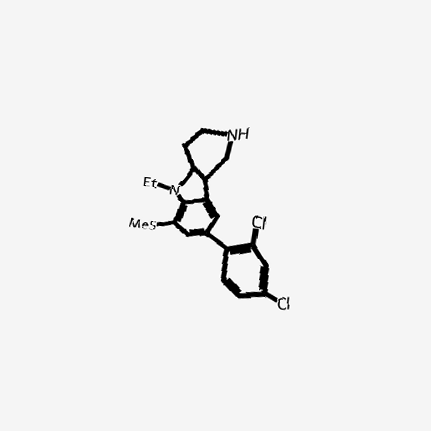 CCN1c2c(SC)cc(-c3ccc(Cl)cc3Cl)cc2C2CNCCC21